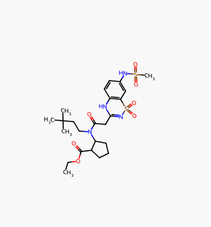 CCOC(=O)C1CCCC1N(CCC(C)(C)C)C(=O)CC1=NS(=O)(=O)c2cc(NS(C)(=O)=O)ccc2N1